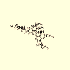 CCCCN/C(CC1C=CC(CNC)=CC1)=C1\C(=N)C(N)=Nc2cc(CCCNSC)ccc21